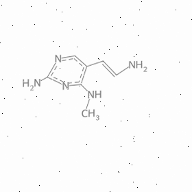 CNc1nc(N)ncc1C=CN